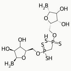 B[C@@H]1O[C@H](COP(=S)(S)CP(=S)(S)OC[C@@H]2O[C@H](B)C(O)[C@@H]2O)C(O)[C@@H]1O